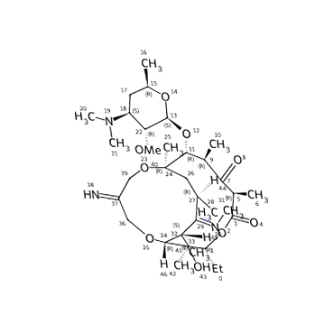 CC[C@H]1OC(=O)[C@H](C)C(=O)[C@H](C)[C@@H](O[C@@H]2O[C@H](C)C[C@H](N(C)C)[C@H]2OC)[C@@]2(C)C[C@@H](C)/C(=N\C)[C@H](C)[C@@H](OCC(=N)CO2)[C@]1(C)O